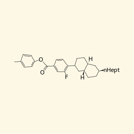 CCCCCCC[C@H]1CC[C@@H]2CC(c3ccc(C(=O)Oc4ccc(C)cc4)cc3F)CC[C@H]2C1